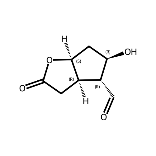 O=C[C@@H]1[C@H]2CC(=O)O[C@H]2C[C@H]1O